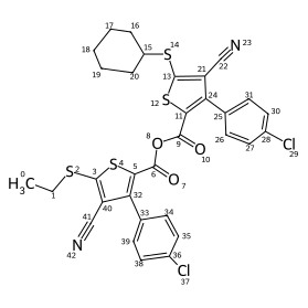 CCSc1sc(C(=O)OC(=O)c2sc(SC3CCCCC3)c(C#N)c2-c2ccc(Cl)cc2)c(-c2ccc(Cl)cc2)c1C#N